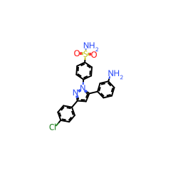 Nc1cccc(-c2cc(-c3ccc(Cl)cc3)nn2-c2ccc(S(N)(=O)=O)cc2)c1